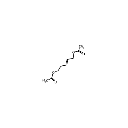 CC(=O)OCC=CCCOC(C)=O